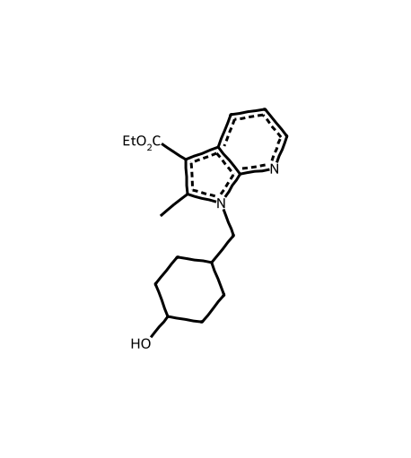 CCOC(=O)c1c(C)n(CC2CCC(O)CC2)c2ncccc12